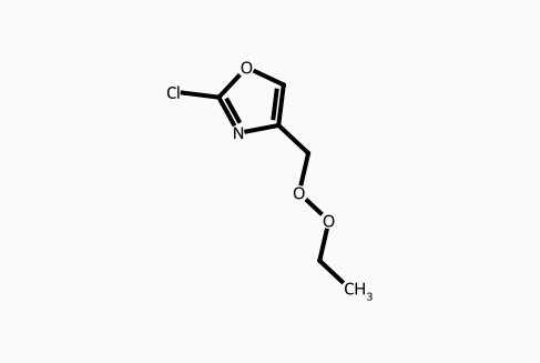 CCOOCc1coc(Cl)n1